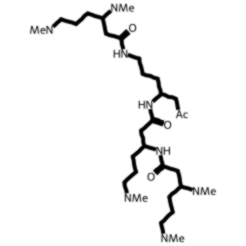 CNCCCC(CC(=O)NCCCC(CC(C)=O)NC(=O)CC(CCCNC)NC(=O)CC(CCCNC)NC)NC